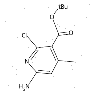 Cc1cc(N)nc(Cl)c1C(=O)OC(C)(C)C